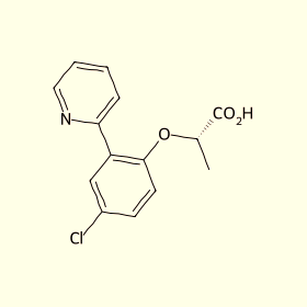 C[C@H](Oc1ccc(Cl)cc1-c1ccccn1)C(=O)O